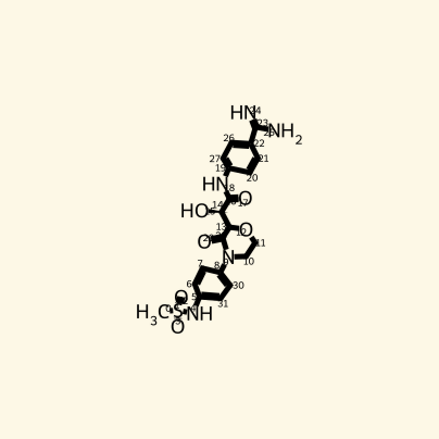 CS(=O)(=O)Nc1ccc(N2CCOC([C@@H](O)C(=O)Nc3ccc(C(=N)N)cc3)C2=O)cc1